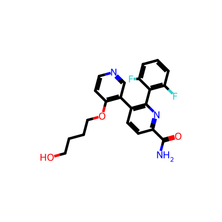 NC(=O)c1ccc(-c2cnccc2OCCCCO)c(-c2c(F)cccc2F)n1